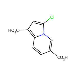 O=C(O)c1ccc2c(C(=O)O)cc(Cl)n2c1